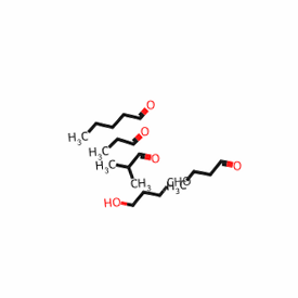 CC(C)C=O.CCC=O.CCCC=O.CCCCC=O.O=CCCCO